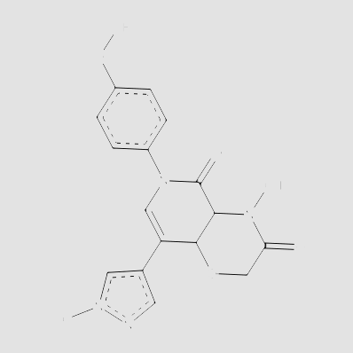 CN1C(=O)COC2C(c3cnn(C)c3)=CN(c3ccc(OC(F)(F)F)cc3)C(=O)C21